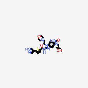 CC(C)(O)Cn1c(=O)[nH]c2cc3c(cc21)nc(NC(=O)c1ccc(-c2cn[nH]c2)s1)n3CCN1CCOCC1